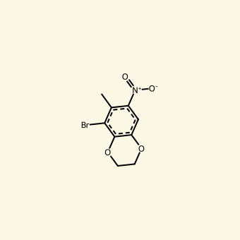 Cc1c([N+](=O)[O-])cc2c(c1Br)OCCO2